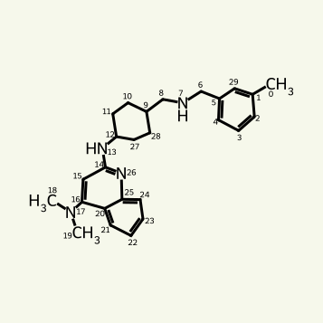 Cc1cccc(CNCC2CCC(Nc3cc(N(C)C)c4ccccc4n3)CC2)c1